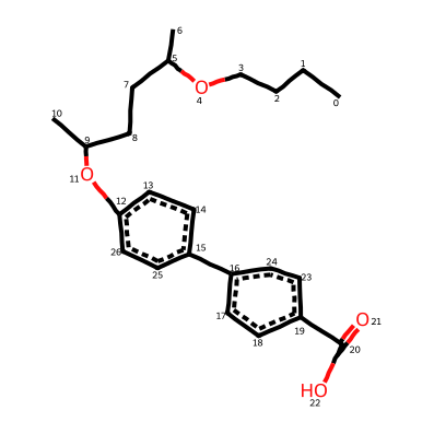 CCCCOC(C)CCC(C)Oc1ccc(-c2ccc(C(=O)O)cc2)cc1